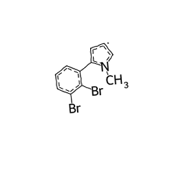 Cn1c[c]cc1-c1cccc(Br)c1Br